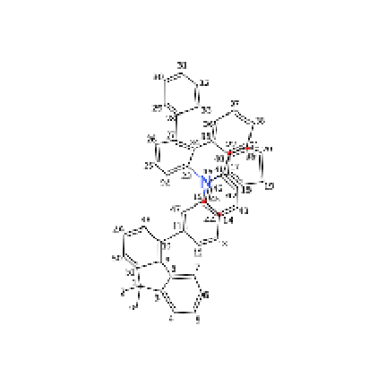 CC1(C)c2ccccc2-c2c(-c3cccc(N(c4ccccc4)c4cccc(-c5ccccc5)c4-c4ccccc4-c4ccccc4)c3)cccc21